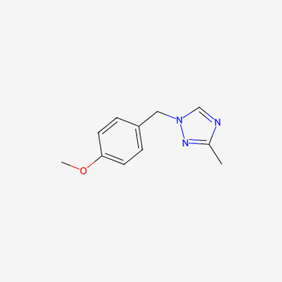 COc1ccc(Cn2cnc(C)n2)cc1